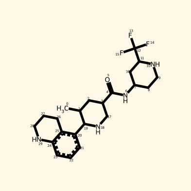 CC1CC(C(=O)NC2CCNC(C(F)(F)F)C2)CNC1c1cccc2c1CCCN2